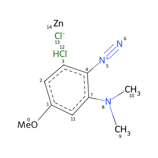 COc1ccc([N+]#N)c(N(C)C)c1.Cl.[Cl-].[Zn]